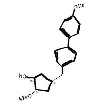 COc1ccc(-c2ccc(C[C@@H]3C[C@H](OC)[C@@H](O)C3)cc2)cc1